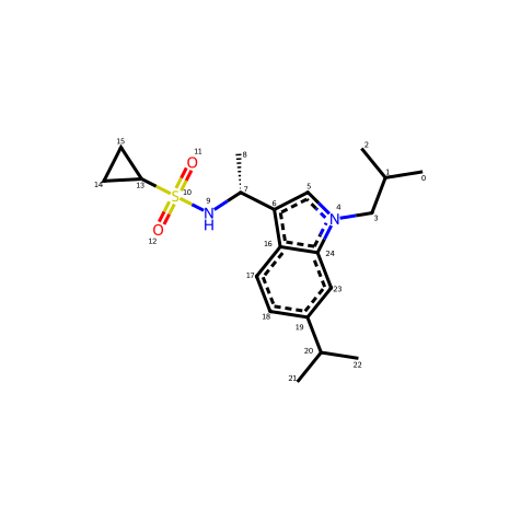 CC(C)Cn1cc([C@@H](C)NS(=O)(=O)C2CC2)c2ccc(C(C)C)cc21